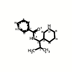 CC(C)C(NC(=O)c1cccnc1)C1CCCNC1